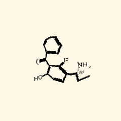 CC[C@@H](N)c1ccc(O)c(C(=O)c2ccccc2)c1F